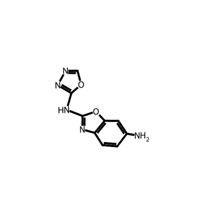 Nc1ccc2nc(Nc3nnco3)oc2c1